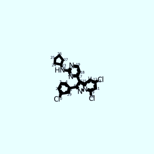 Clc1cccc(-c2nn3c(Cl)cc(Cl)cc3c2-c2ccnc(NC3CCCC3)n2)c1